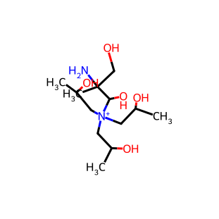 CC(O)C[N+](CC(C)O)(CC(C)O)C(O)C(C)(N)CO